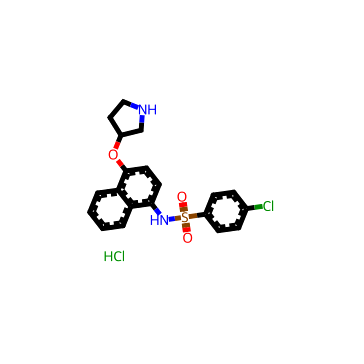 Cl.O=S(=O)(Nc1ccc(OC2CCNC2)c2ccccc12)c1ccc(Cl)cc1